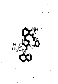 Cc1nc(-c2cccc3[nH]nc(C(C)C)c23)cc(OC2CCCC2)c1CN(C)C1CCCc2ccccc21